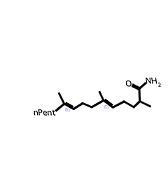 CCCCC/C(C)=C/CC/C(C)=C/CCC(C)C(N)=O